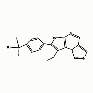 CCc1c(-c2ccc(C(C)(C)O)cc2)[nH]c2ncc3cncn3c12